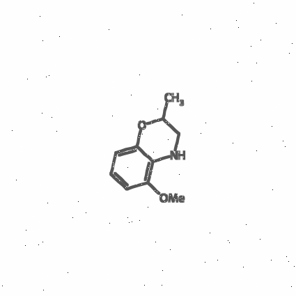 COc1cccc2c1NCC(C)O2